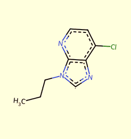 CCCn1[c]nc2c(Cl)ccnc21